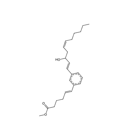 CCCCC/C=C\CC(O)/C=C/c1cccc(C=CCCCC(=O)OC)c1